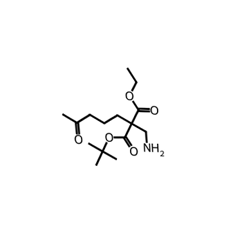 CCOC(=O)C(CN)(CCCC(C)=O)C(=O)OC(C)(C)C